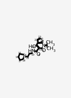 CC(C)n1c(=O)c(C(=O)NCCCN2CCCCC2)c(O)c2ccsc21